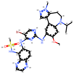 COc1cc2c(cc1Nc1ncc(Br)c(Nc3ccc4nccnc4c3NS(C)(=O)=O)n1)-c1cnn(C)c1CCN2C(C)C